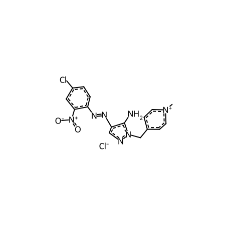 C[n+]1ccc(Cn2ncc(/N=N/c3ccc(Cl)cc3[N+](=O)[O-])c2N)cc1.[Cl-]